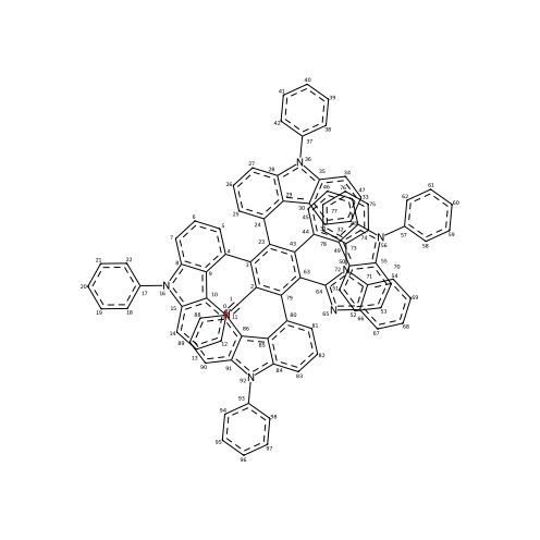 N#Cc1c(-c2cccc3c2c2ccccc2n3-c2ccccc2)c(-c2cccc3c2c2ccccc2n3-c2ccccc2)c(-c2cccc3c2c2ccccc2n3-c2ccccc2)c(-c2nc3ccccc3n2-c2ccccc2)c1-c1cccc2c1c1ccccc1n2-c1ccccc1